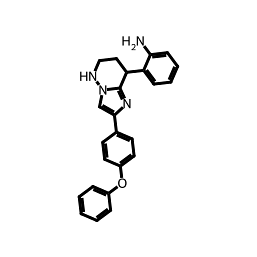 Nc1ccccc1C1CCNn2cc(-c3ccc(Oc4ccccc4)cc3)nc21